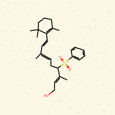 CC(C=CC1=C(C)CCCC1(C)C)=CCC(C(C)=CCO)S(=O)(=O)c1ccccc1